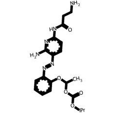 CC(C)OC(=O)OC(C)Oc1ccccc1/N=N/c1ccc(NC(=O)CCN)nc1N